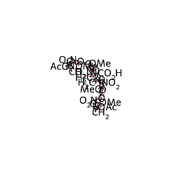 C=C1C[C@@H](COC(C)=O)N(C(=O)c2cc(OC)c(OCCCOc3cc([N+](=O)[O-])c(C(=O)N4CC(=C)C[C@@H]4C[C](CC(=O)O)[C@@H]4CC(=C)CN4C(=O)c4cc(OC)c(OCCCOc5cc([N+](=O)[O-])c(C(=O)N6CC(=C)C[C@H]6COC(C)=O)cc5OC)cc4[N+](=O)[O-])cc3OC)cc2[N+](=O)[O-])C1